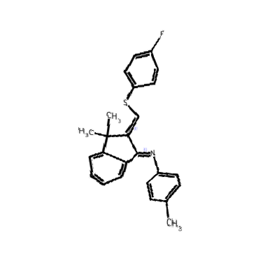 Cc1ccc(/N=C2/C(=C/Sc3ccc(F)cc3)C(C)(C)c3ccccc32)cc1